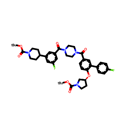 CC(C)(C)OC(=O)N1CCC(c2cc(F)cc(C(=O)N3CCN(C(=O)c4ccc(O[C@H]5CCN(C(=O)OC(C)(C)C)C5)c(-c5ccc(F)cc5)c4)CC3)c2)CC1